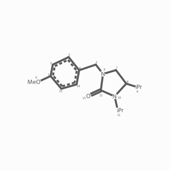 COc1ccc(CN2CC(C(C)C)N(C(C)C)C2=O)cc1